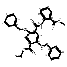 CCOC(=O)c1cc(OCc2ccccc2)c(C(=O)Nc2ccccc2C(=O)OC)cc1OCc1ccccc1